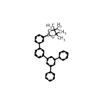 CC1(C)OB(c2cccc(-c3cccc(-c4cc(-c5ccccc5)cc(-c5ccccc5)c4)c3)c2)OC1(C)C